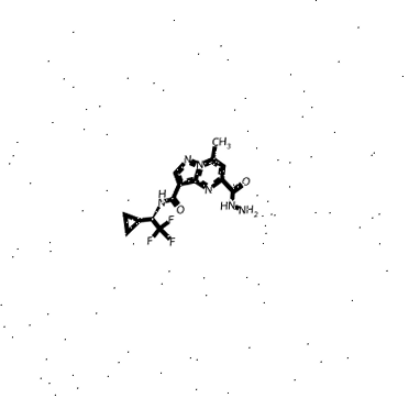 Cc1cc(C(=O)NN)nc2c(C(=O)N[C@H](C3CC3)C(F)(F)F)cnn12